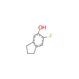 Oc1cc2c(cc1F)CCC2